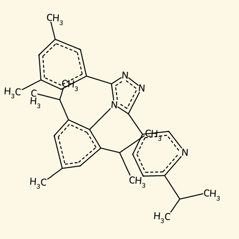 Cc1cc(C)cc(-c2nnc(-c3ccc(C(C)C)nc3)n2-c2c(C(C)C)cc(C)cc2C(C)C)c1